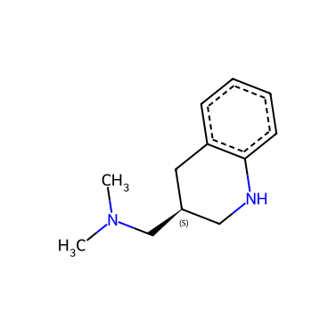 CN(C)C[C@@H]1CNc2ccccc2C1